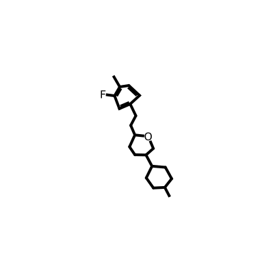 Cc1ccc(CCC2CCC(C3CCC(C)CC3)CO2)cc1F